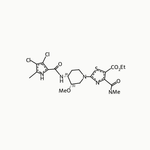 CCOC(=O)c1sc(N2CC[C@@H](NC(=O)c3[nH]c(C)c(Cl)c3Cl)[C@@H](OC)C2)nc1C(=O)NC